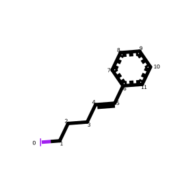 ICCCC=Cc1ccccc1